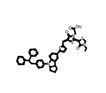 CCN1CS/C(=c2/s/c(=C\c3ccc(-c4ccc5c(c4)C4CCCC4N5c4ccc(CC(c5ccccc5)c5ccccc5)cc4)s3)c(=O)n2CC(=O)O)C1=O